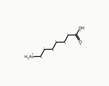 O=C(O)CCCCCC[AsH2]